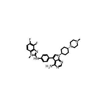 CN1CCN([C@H]2CC[C@H](n3cc(-c4ccc(Nc5nc6c(F)c(F)ccc6n5C)cc4)c4c(N)ncnc43)CC2)CC1